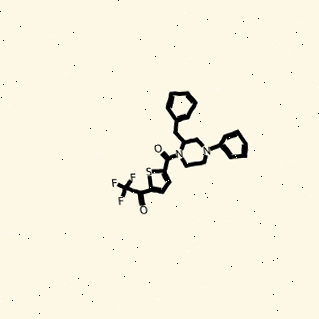 O=C(c1ccc(C(=O)C(F)(F)F)s1)N1CCN(c2ccccc2)CC1Cc1ccccc1